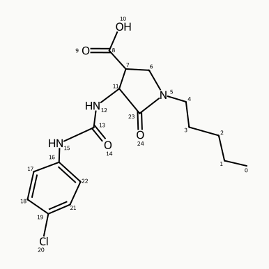 CCCCCN1CC(C(=O)O)C(NC(=O)Nc2ccc(Cl)cc2)C1=O